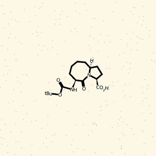 CC(C)(C)OC(=O)N[C@H]1CCCC[C@H]2CC[C@@H](C(=O)O)N2C1=O